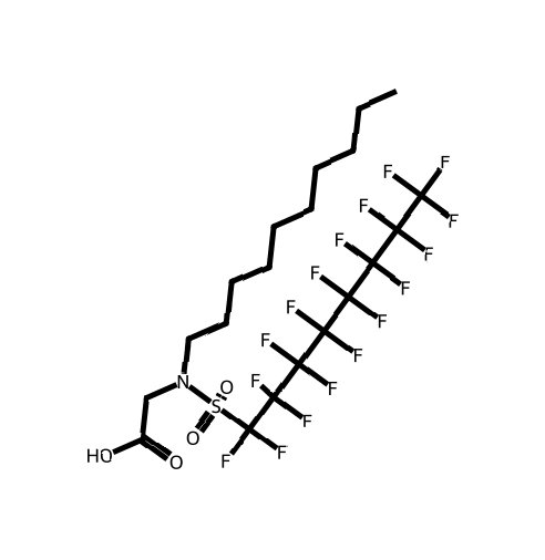 CCCCCCCCCCN(CC(=O)O)S(=O)(=O)C(F)(F)C(F)(F)C(F)(F)C(F)(F)C(F)(F)C(F)(F)C(F)(F)C(F)(F)F